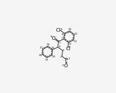 O=PCCC(C(=O)c1c(Cl)cccc1Cl)c1ccccc1